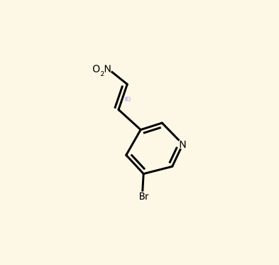 O=[N+]([O-])/C=C/c1cncc(Br)c1